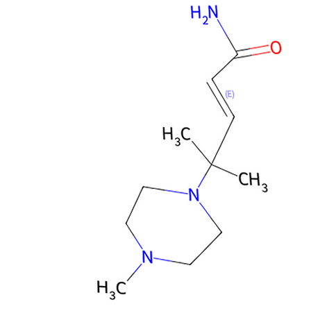 CN1CCN(C(C)(C)/C=C/C(N)=O)CC1